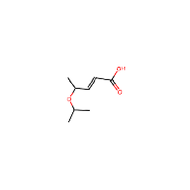 CC(C)OC(C)C=CC(=O)O